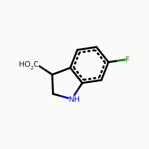 O=C(O)C1CNc2cc(F)ccc21